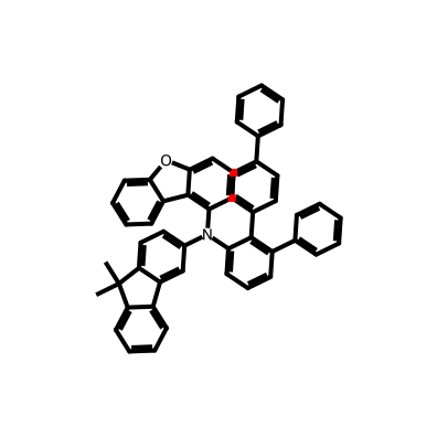 CC1(C)c2ccccc2-c2cc(N(c3cccc(-c4ccccc4)c3-c3ccc(-c4ccccc4)cc3)c3cccc4oc5ccccc5c34)ccc21